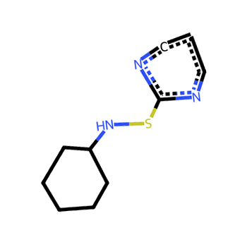 c1cnc(SNC2CCCCC2)nc1